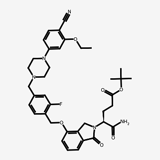 CCOc1cc(N2CCN(Cc3ccc(COc4cccc5c4CN([C@@H](CCC(=O)OC(C)(C)C)C(N)=O)C5=O)c(F)c3)CC2)ccc1C#N